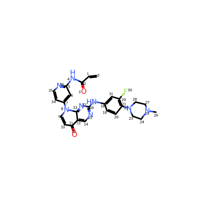 C=CC(=O)Nc1cc(-n2ccc(=O)c3cnc(Nc4ccc(N5CCN(C)CC5)c(F)c4)nc32)ccn1